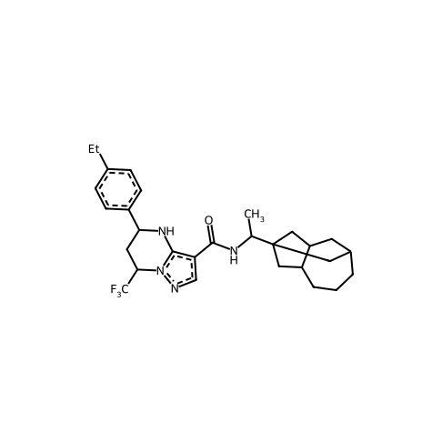 CCc1ccc(C2CC(C(F)(F)F)n3ncc(C(=O)NC(C)C45CC6CCCC(C4)C(C6)C5)c3N2)cc1